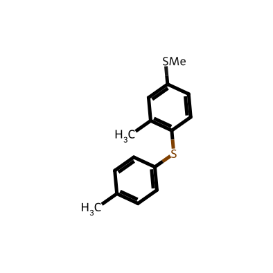 CSc1ccc(Sc2ccc(C)cc2)c(C)c1